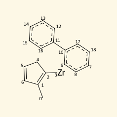 CC1=[C]([Zr])CC=C1.c1ccc(-c2ccccc2)cc1